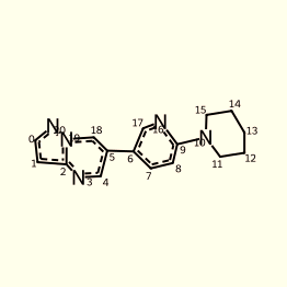 c1cc2ncc(-c3ccc(N4CCCCC4)nc3)cn2n1